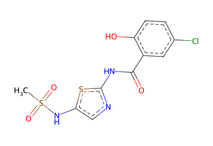 CS(=O)(=O)Nc1cnc(NC(=O)c2cc(Cl)ccc2O)s1